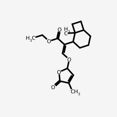 CCOC(=O)/C(=C/OC1C=C(C)C(=O)O1)C1CCCC2CCC21C